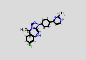 Cc1nccc(C2CCC(N3N=CN4C3=CNC3=C(CCC(Cl)=C3)C4C)CC2)n1